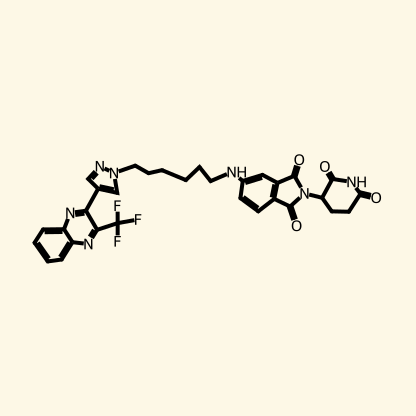 O=C1CCC(N2C(=O)c3ccc(NCCCCCCn4cc(-c5nc6ccccc6nc5C(F)(F)F)cn4)cc3C2=O)C(=O)N1